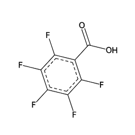 O=C(O)c1c(F)c(F)c(F)c(F)c1F